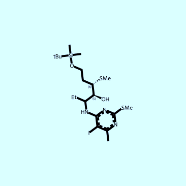 CCC(Nc1nc(SC)nc(C)c1I)[C@H](O)[C@H](CCO[Si](C)(C)C(C)(C)C)SC